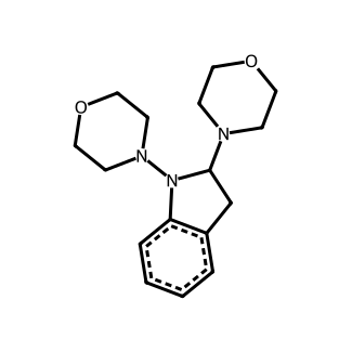 c1ccc2c(c1)CC(N1CCOCC1)N2N1CCOCC1